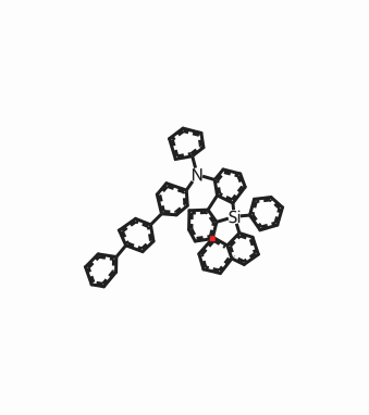 c1ccc(-c2ccc(-c3ccc(N(c4ccccc4)c4cccc5c4-c4ccccc4[Si]5(c4ccccc4)c4cccc5ccccc45)cc3)cc2)cc1